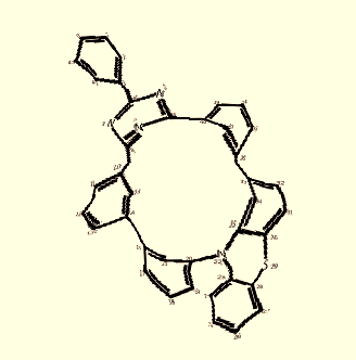 c1ccc(-c2nc3nc(n2)c2cccc(c2)c2cccc(c2)n2c4ccccc4sc4ccc(cc4-2)c2cccc3c2)cc1